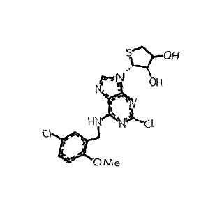 COc1ccc(Cl)cc1CNc1nc(Cl)nc2c1ncn2[C@@H]1SCC(O)C1O